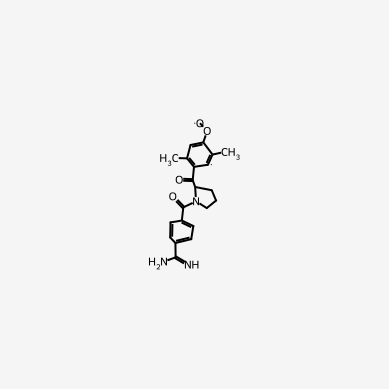 Cc1[c]c(C(=O)C2CCCN2C(=O)c2ccc(C(=N)N)cc2)c(C)cc1O[O]